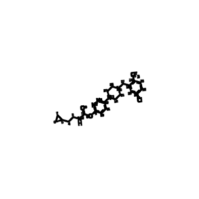 O=C(NCCC1CC1)Oc1ccc(N2CCN(Cc3cc(Cl)ccc3C(F)(F)F)CC2)nn1